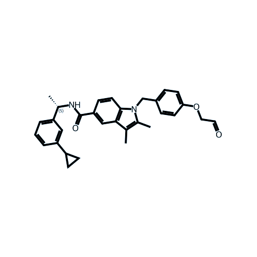 Cc1c(C)n(Cc2ccc(OCC=O)cc2)c2ccc(C(=O)N[C@@H](C)c3cccc(C4CC4)c3)cc12